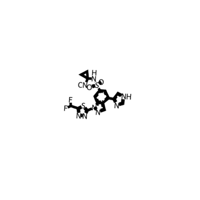 N#CC1(NS(=O)(=O)c2cc(-c3c[nH]cn3)c3cnn(-c4nnc(C(F)F)s4)c3c2)CC1